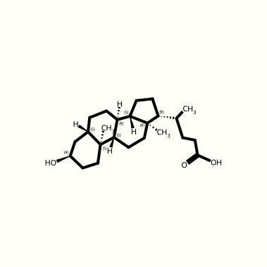 CC(CCC(=O)O)[C@H]1CC[C@H]2[C@@H]3CC[C@H]4C[C@H](O)CC[C@]4(C)[C@H]3CC[C@]12C